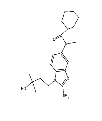 CN(C(=O)C1CCCCC1)c1ccc2c(c1)nc(N)n2CCC(C)(C)O